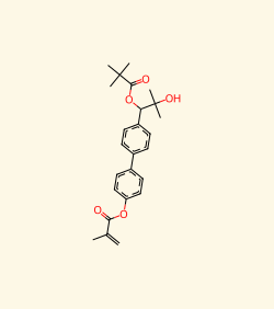 C=C(C)C(=O)Oc1ccc(-c2ccc(C(OC(=O)C(C)(C)C)C(C)(C)O)cc2)cc1